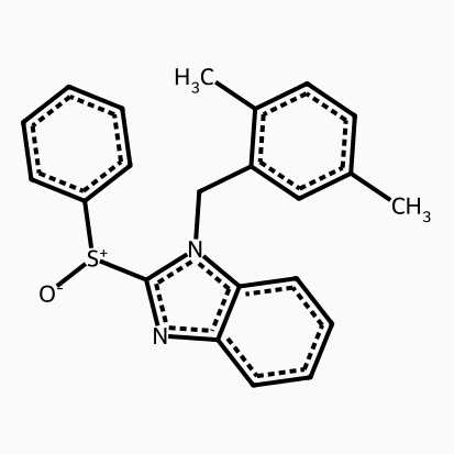 Cc1ccc(C)c(Cn2c([S+]([O-])c3ccccc3)nc3ccccc32)c1